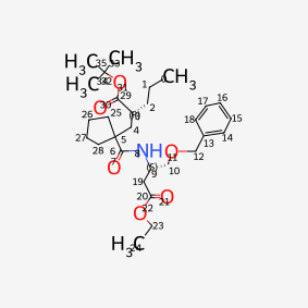 CCC[C@H](CC1(C(=O)N[C@H](COCc2ccccc2)CC(=O)OCC)CCCC1)C(=O)OC(C)(C)C